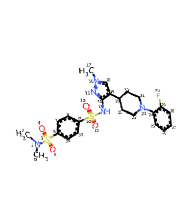 CN(C)S(=O)(=O)c1ccc(S(=O)(=O)Nc2nn(C)cc2C2CCN(c3ccccc3F)CC2)cc1